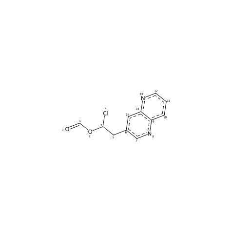 O=COC(Cl)Cc1cnc2cccnc2c1